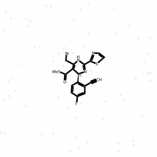 C#Cc1cc(F)ccc1[C@@H]1N=C(c2nccs2)NC(CBr)=C1C(=O)SC